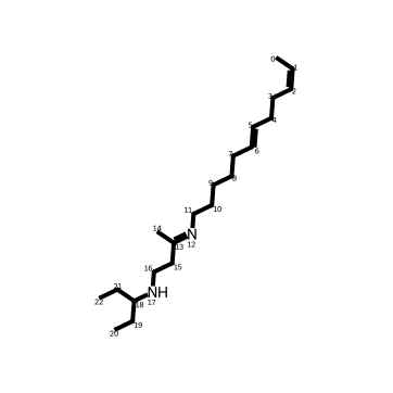 C/C=C\CC/C=C/CCCCC/N=C(\C)CCNC(CC)CC